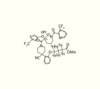 [2H]C([2H])(Oc1ccccc1C1(C#N)CCN(C(=O)[C@]2(Oc3csc(C(F)(F)F)c3)CCCN(C(=O)c3ncccc3C(F)(F)F)[C@@H]2CCC)CC1)C([2H])([2H])C([2H])([2H])C(=O)OC